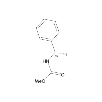 COC(=O)N[C@@H](I)c1ccccc1